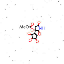 COC(=O)OC1(c2cc(=O)c(=O)c2=O)CC(=O)NC1=O